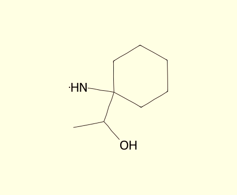 CC(O)C1([NH])CCCCC1